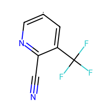 N#Cc1nc[c]cc1C(F)(F)F